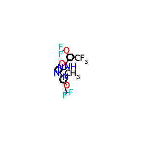 CC(NC(=O)c1cc(OC(F)F)cc(C(F)(F)F)c1)c1nccnc1-c1ccc(OCC(F)F)cn1